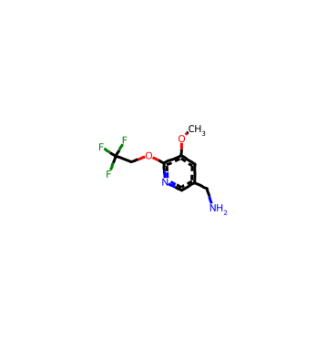 COc1cc(CN)cnc1OCC(F)(F)F